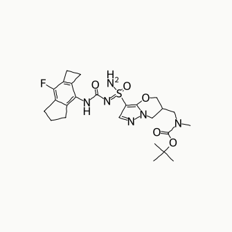 CN(CC1COc2c(S(N)(=O)=NC(=O)Nc3c4c(c(F)c5c3CC5)CCC4)cnn2C1)C(=O)OC(C)(C)C